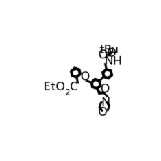 CCOC(=O)Cc1ccccc1OCc1cc(-c2cccc(CNC(=O)OC(C)(C)C)c2)c2oc(CN3CCOCC3)cc2c1